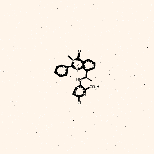 C[C@@H](Nc1ccc(Cl)nc1C(=O)O)c1cccc2c(=O)n(C)c(-c3ccccc3)nc12